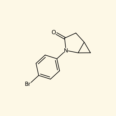 O=C1CC2CC2N1c1ccc(Br)cc1